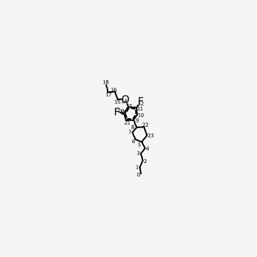 CCCCCC1CCC(c2cc(F)c(OCCCC)c(F)c2)CC1